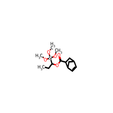 CCC(OC(=O)C1CC2C=CC1C2)[Si](OC)(OC)OC